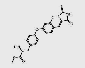 COC(=O)[C@@H](N)Cc1ccc(Oc2ccc(/C=C3\SC(=S)NC3=O)c(Cl)c2)cc1